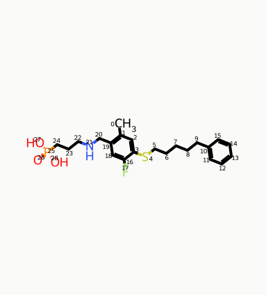 Cc1cc(SCCCCCc2ccccc2)c(F)cc1CNCCCP(=O)(O)O